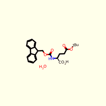 CC(C)(C)OC(=O)CC[C@H](NC(=O)OCC1c2ccccc2-c2ccccc21)C(=O)O.O